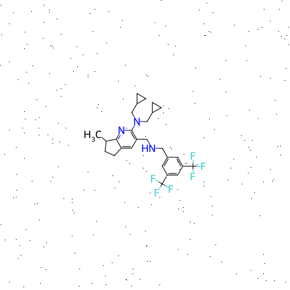 CC1CCc2cc(CNCc3cc(C(F)(F)F)cc(C(F)(F)F)c3)c(N(CC3CC3)CC3CC3)nc21